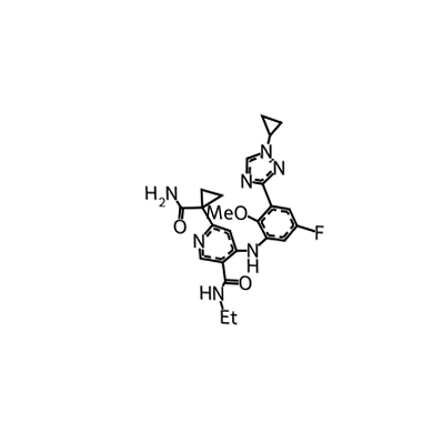 CCNC(=O)c1cnc(C2(C(N)=O)CC2)cc1Nc1cc(F)cc(-c2ncn(C3CC3)n2)c1OC